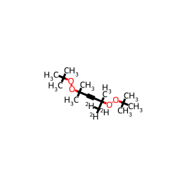 [2H]C([2H])([2H])C(C)(C#CC(C)(C)OOC(C)(C)C)OOC(C)(C)C